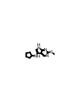 CSc1ncc2c(NC3CCCC3)c[nH]c2n1